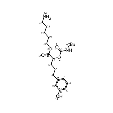 CC(C)(C)NC(=O)O[C@@H](CCCc1cccc(O)c1)C(=O)NCCCCCN